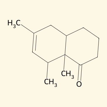 CC1=CC(C)C2(C)C(=O)CCCC2C1